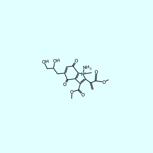 C=C(C(=O)OC)C1=C(C(=O)OC)C2=C(C(=O)C=C(CC(O)CO)C2=O)[N+]1(C)N